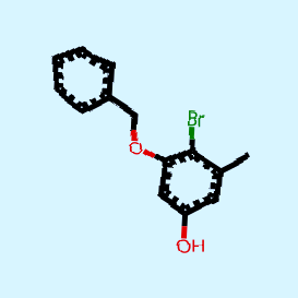 Cc1cc(O)cc(OCc2ccccc2)c1Br